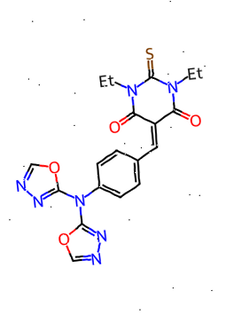 CCN1C(=O)C(=Cc2ccc(N(c3nnco3)c3nnco3)cc2)C(=O)N(CC)C1=S